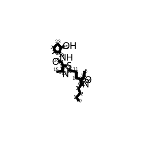 CCCCc1noc(C)c1/C=C/c1nc(C)c(C(=O)NC2CCCC2O)s1